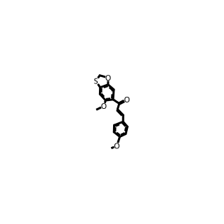 COc1ccc(C=CC(=O)c2cc3c(cc2OC)SCO3)cc1